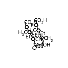 CCC(CC)(c1ccc(/C=C/C2(O)CCCCC2)c(C)c1)c1ccc(-c2ccc(CC(=O)O)cc2)c(C)c1.CCC(CC)(c1ccc(CCC(O)C(C)(C)C)c(C)c1)c1ccc(-c2ccc(CC(=O)O)c(F)c2)c(C)c1